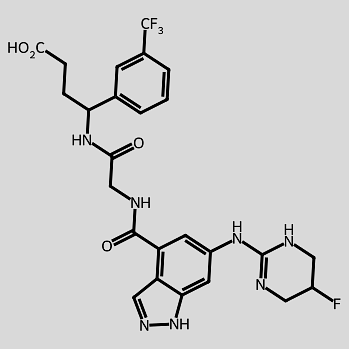 O=C(O)CCC(NC(=O)CNC(=O)c1cc(NC2=NCC(F)CN2)cc2[nH]ncc12)c1cccc(C(F)(F)F)c1